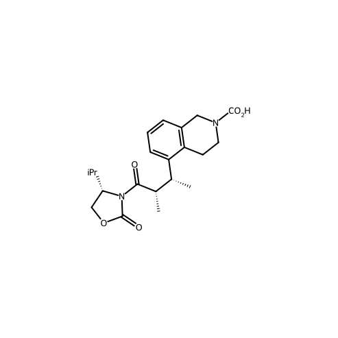 CC(C)[C@H]1COC(=O)N1C(=O)[C@@H](C)[C@@H](C)c1cccc2c1CCN(C(=O)O)C2